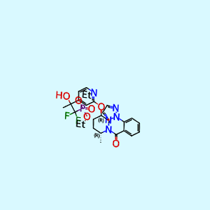 CCOP(=O)(OCC)C(F)(F)C(C)(O)c1ccnc(O[C@@H]2CC[C@@H](C)N(C(=O)c3ccccc3-n3nccn3)C2)c1